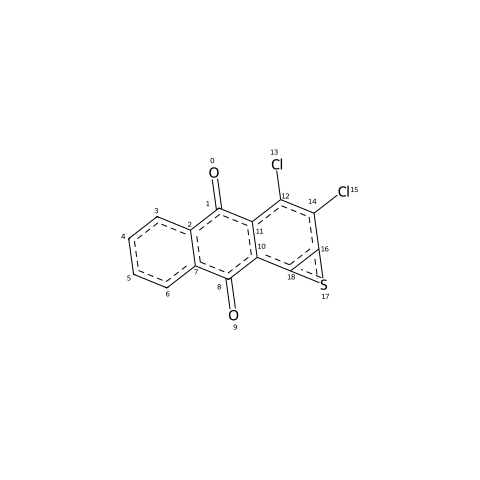 O=c1c2ccccc2c(=O)c2c1c(Cl)c(Cl)c1sc12